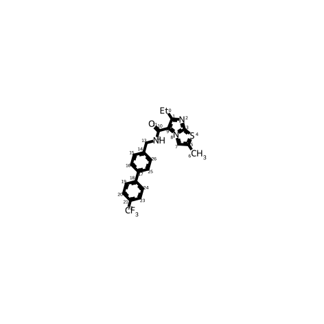 CCc1nc2sc(C)cn2c1C(=O)NCc1ccc(-c2ccc(C(F)(F)F)cc2)cc1